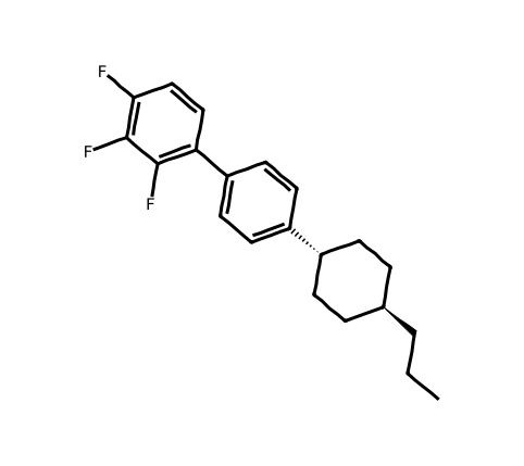 CCC[C@H]1CC[C@H](c2ccc(-c3ccc(F)c(F)c3F)cc2)CC1